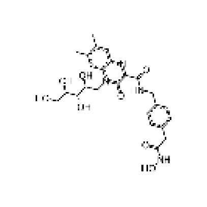 Cc1cc2nc(C(=O)NCc3ccc(CC(=O)NO)cc3)c(=O)n(C[C@H](O)[C@H](O)[C@H](O)CO)c2cc1C